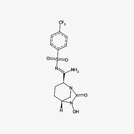 NC(=NS(=O)(=O)c1ccc(C(F)(F)F)cc1)[C@@H]1CC[C@@H]2CN1C(=O)N2O